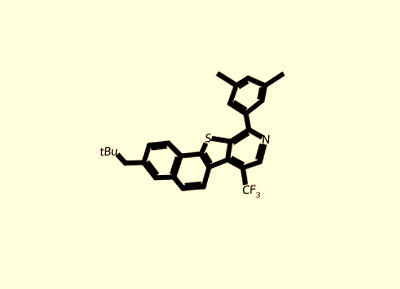 Cc1cc(C)cc(-c2ncc(C(F)(F)F)c3c2sc2c4ccc(CC(C)(C)C)cc4ccc23)c1